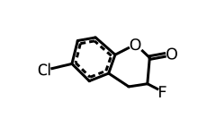 O=C1Oc2ccc(Cl)cc2CC1F